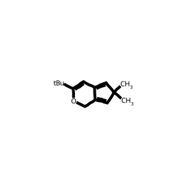 CC1(C)C=C2C=C(C(C)(C)C)OCC2=C1